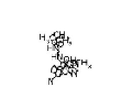 COc1cncc2c1[C@]1(O)[C@H](O)C(CNCCNC(=O)OC(C)(C)C)C(c3ccccc3)C1(c1ccc(C#N)cc1)O2